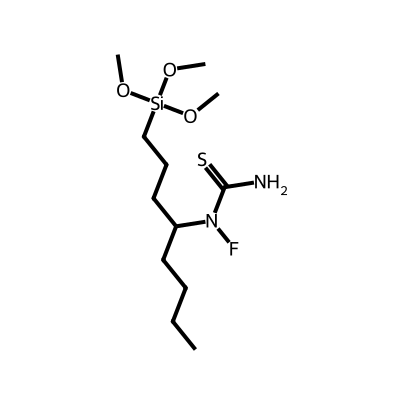 CCCCC(CCC[Si](OC)(OC)OC)N(F)C(N)=S